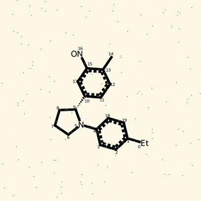 CCc1ccc(N2CCC[C@@H]2c2ccc(C)c(N=O)c2)cc1